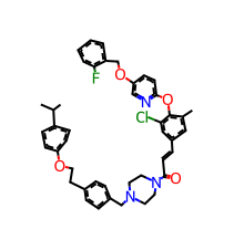 Cc1cc(/C=C/C(=O)N2CCN(Cc3ccc(CCOc4ccc(C(C)C)cc4)cc3)CC2)cc(Cl)c1Oc1ccc(OCc2ccccc2F)cn1